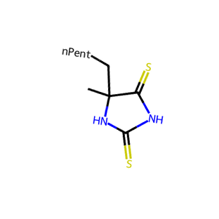 CCCCCCC1(C)NC(=S)NC1=S